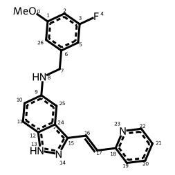 COc1cc(F)cc(CNc2ccc3[nH]nc(C=Cc4ccccn4)c3c2)c1